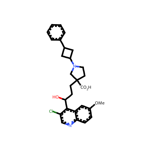 COc1ccc2ncc(Cl)c(C(O)CCC3(C(=O)O)CCN(C4CC(c5ccccc5)C4)C3)c2c1